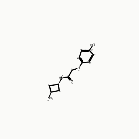 N[C@H]1C[C@@H](NC(=O)COc2ccc(Cl)cc2)C1